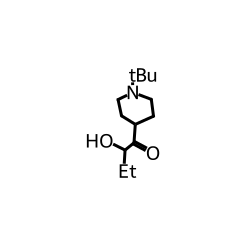 CCC(O)C(=O)C1CCN(C(C)(C)C)CC1